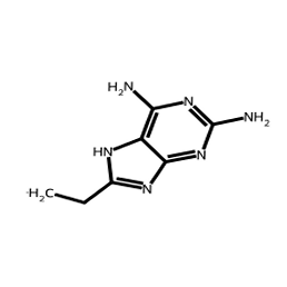 [CH2]Cc1nc2nc(N)nc(N)c2[nH]1